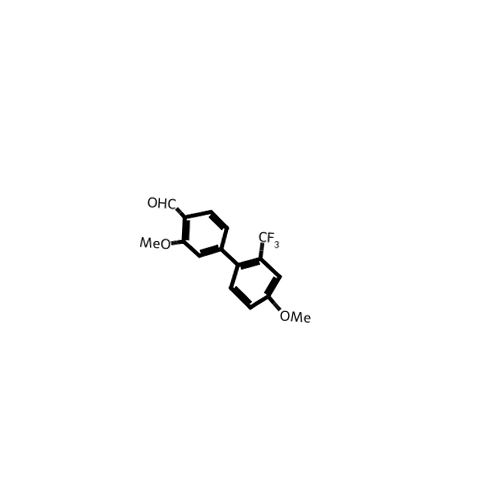 COc1ccc(-c2ccc(C=O)c(OC)c2)c(C(F)(F)F)c1